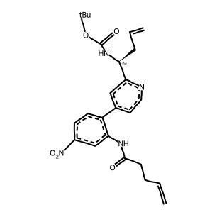 C=CCCC(=O)Nc1cc([N+](=O)[O-])ccc1-c1ccnc([C@H](CC=C)NC(=O)OC(C)(C)C)c1